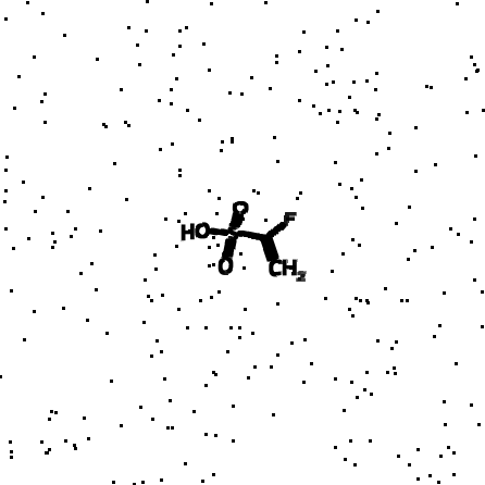 C=C(F)S(=O)(=O)O